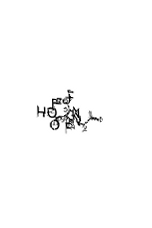 C=CCn1nc(C(F)F)c(C(=O)O)c1F